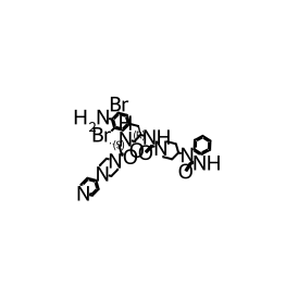 C[C@H](NC(=O)[C@@H](Cc1cc(Br)c(N)c(Br)c1)NC(=O)N1CCC(n2c(=O)[nH]c3ccccc32)CC1)C(=O)N1CCN(c2ccncc2)CC1